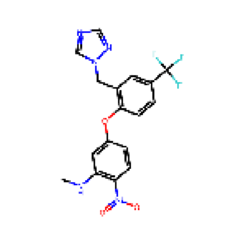 CNc1cc(Oc2ccc(C(F)(F)F)cc2Cn2cncn2)ccc1[N+](=O)[O-]